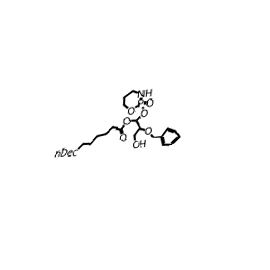 CCCCCCCCCCCCCCCC(=O)OC(OP1(=O)NCCCO1)C(CO)OCc1ccccc1